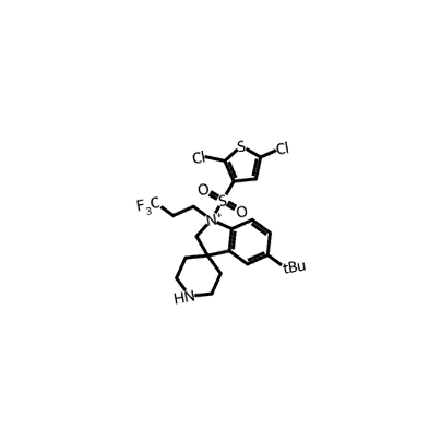 CC(C)(C)c1ccc2c(c1)C1(CCNCC1)C[N+]2(CCC(F)(F)F)S(=O)(=O)c1cc(Cl)sc1Cl